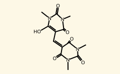 CN1C(=O)C(=Cc2c(O)n(C)c(=O)n(C)c2=O)C(=O)N(C)C1=O